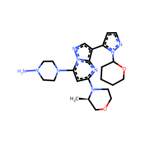 C[C@@H]1COCCN1c1cc(N2CCN(N)CC2)n2ncc(-c3ccnn3C3CCCCO3)c2n1